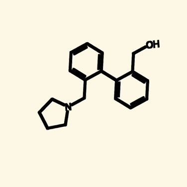 OCc1ccccc1-c1ccccc1CN1CCCC1